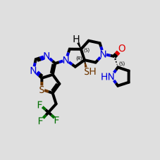 O=C([C@@H]1CCCN1)N1CC[C@H]2CN(c3ncnc4sc(CC(F)(F)F)cc34)C[C@@]2(S)C1